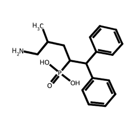 CC(CN)CC(C(c1ccccc1)c1ccccc1)P(=O)(O)O